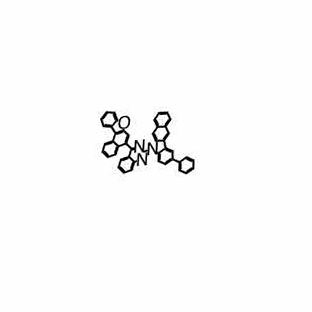 c1ccc(-c2ccc3c(c2)c2cc4ccccc4cc2n3-c2nc(-c3cc4oc5ccccc5c4c4ccccc34)c3ccccc3n2)cc1